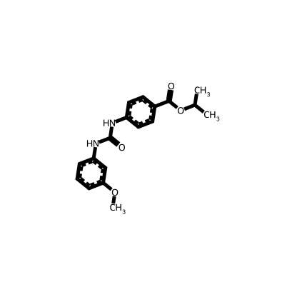 COc1cccc(NC(=O)Nc2ccc(C(=O)OC(C)C)cc2)c1